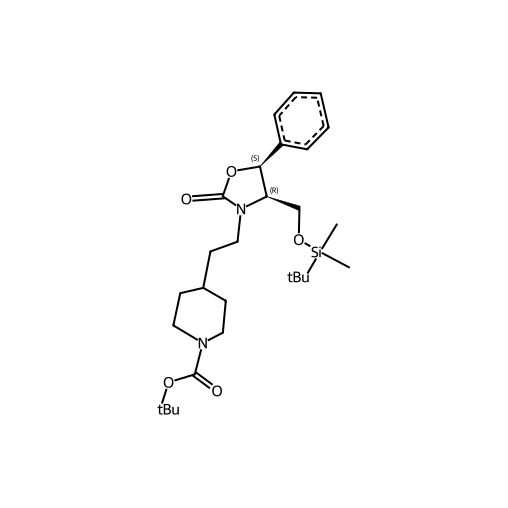 CC(C)(C)OC(=O)N1CCC(CCN2C(=O)O[C@@H](c3ccccc3)[C@H]2CO[Si](C)(C)C(C)(C)C)CC1